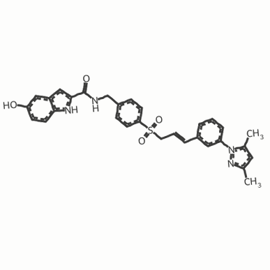 Cc1cc(C)n(-c2cccc(C=CCS(=O)(=O)c3ccc(CNC(=O)c4cc5cc(O)ccc5[nH]4)cc3)c2)n1